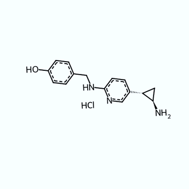 Cl.N[C@@H]1C[C@H]1c1ccc(NCc2ccc(O)cc2)nc1